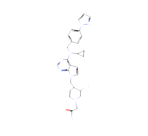 NC(=O)CN1CC[C@@](O)(Cn2ccc3c(N(Cc4ccc(-n5cccn5)cc4)C4CC4)ncnc32)C(O)C1